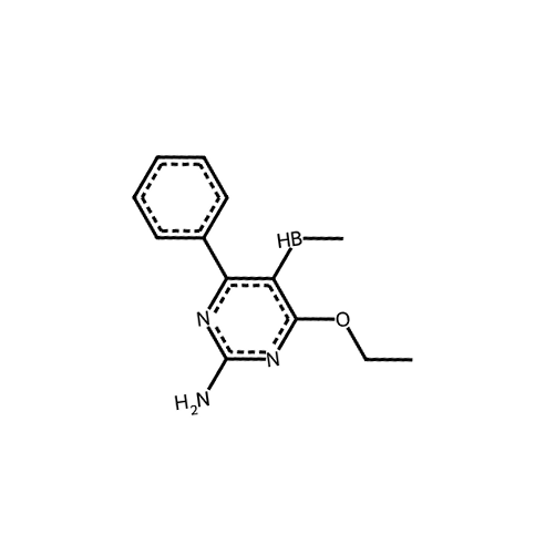 CBc1c(OCC)nc(N)nc1-c1ccccc1